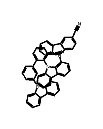 N#Cc1ccc2c(c1)c1ccccc1n2-c1cccc2c3ccccc3n(-c3c(C#N)cccc3-c3cccc(-n4c5ccccc5c5ccccc54)c3)c12